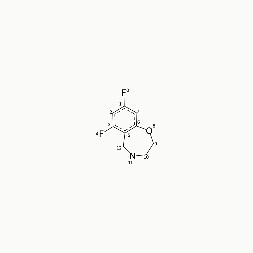 Fc1cc(F)c2c(c1)OCC[N]C2